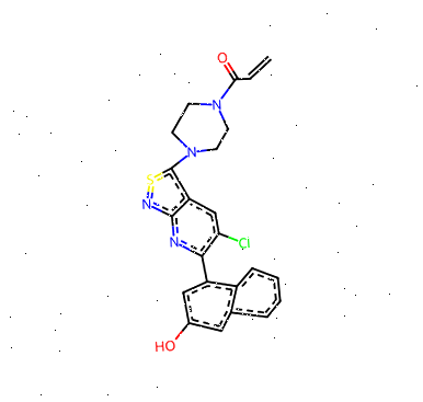 C=CC(=O)N1CCN(c2snc3nc(-c4cc(O)cc5ccccc45)c(Cl)cc23)CC1